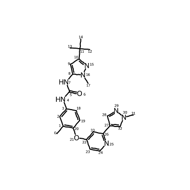 Cc1cc(NC(=O)Nc2cc(C(C)(C)C)nn2C)ccc1Oc1ccnc(-c2cnn(C)c2)c1